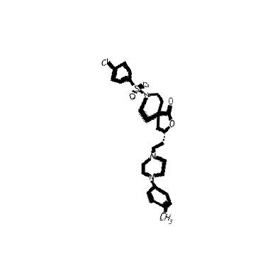 Cc1ccc(N2CCN(CC[C@@H]3CC4(CCN(S(=O)(=O)c5ccc(Cl)cc5)CC4)C(=O)O3)CC2)cc1